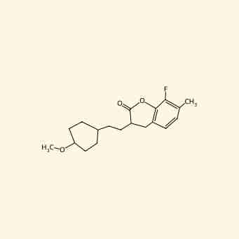 COC1CCC(CCC2Cc3ccc(C)c(F)c3OC2=O)CC1